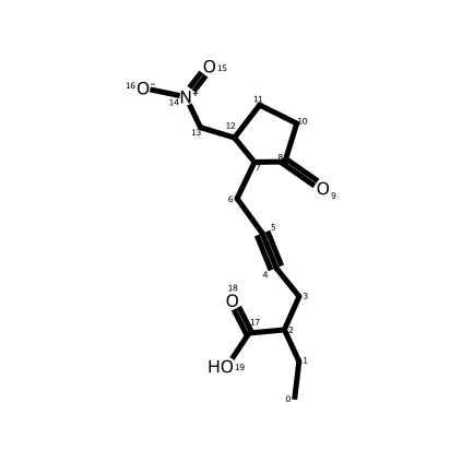 CCC(CC#CCC1C(=O)CCC1C[N+](=O)[O-])C(=O)O